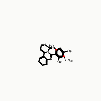 COc1ccc(/N=c2/nccc3c4ccccc4nc(-c4c(O)cc(O)cc4O)n23)cc1